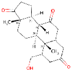 C[C@]12C(CO)CC(=O)CC1CC(=O)[C@@H]1[C@@H]2CC[C@]2(C)C(=O)CC[C@@H]12